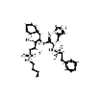 CCCCNS(=O)(=O)C[C@@H](O)[C@@H](O)[C@@H](CC1CCCCC1)NC(=O)[C@H](Cc1c[nH]cn1)NS(=O)(=O)CCc1ccccc1